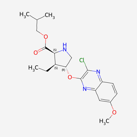 CC[C@@H]1[C@@H](Oc2nc3cc(OC)ccc3nc2Cl)CN[C@@H]1C(=O)OCC(C)C